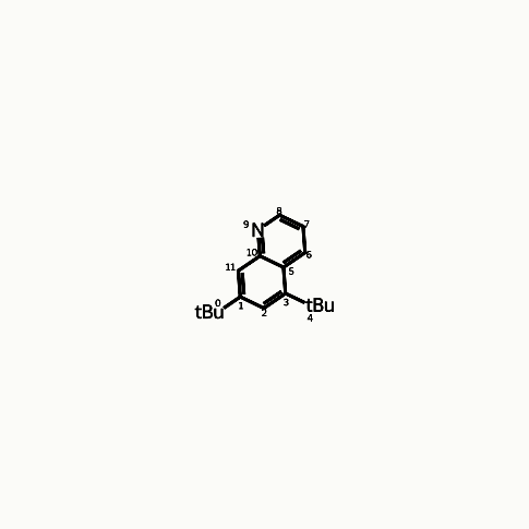 CC(C)(C)c1cc(C(C)(C)C)c2cccnc2c1